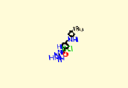 CC(C)(C)c1ccc(NCc2ccc(C(=O)Nc3nn[nH]n3)cc2)cc1.Cl